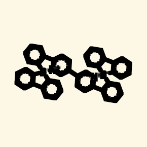 c1ccc2c(c1)-c1ccccc1[B-]21c2ccccc2-c2ccc(-c3ccc4[n+](c3)[B-]3(c5ccccc5-c5ccccc53)c3ccccc3-4)c[n+]21